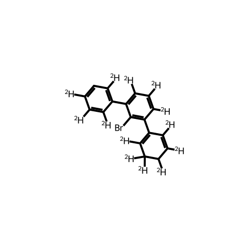 [2H]C1=C([2H])C([2H])C([2H])([2H])C([2H])=C1c1c([2H])c([2H])c([2H])c(-c2c([2H])cc([2H])c([2H])c2[2H])c1Br